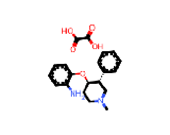 CN1CC[C@@H](Oc2ccccc2N)[C@H](c2ccccc2)C1.O=C(O)C(=O)O